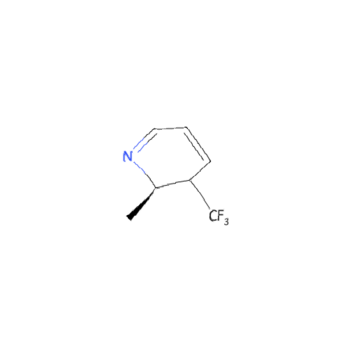 C[C@H]1N=CC=CC1C(F)(F)F